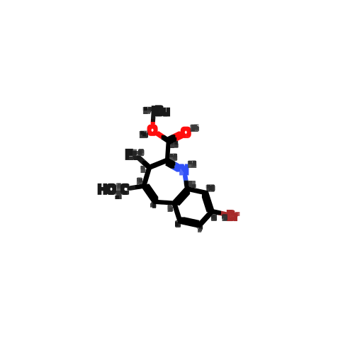 CCC1C(C(=O)O)=Cc2ccc(Br)cc2N=C1C(=O)OC(C)(C)C